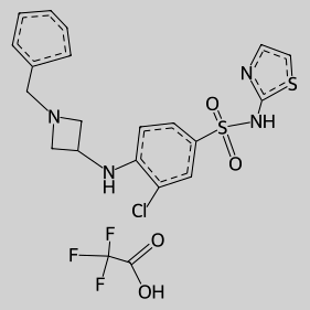 O=C(O)C(F)(F)F.O=S(=O)(Nc1nccs1)c1ccc(NC2CN(Cc3ccccc3)C2)c(Cl)c1